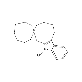 Pn1c2c(c3ccccc31)CCCCC1(CCCCCCC1)C2